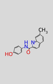 Cc1ccc2ccc(C(=O)Nc3ccc(O)cc3)nc2c1